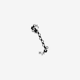 C=C1C=CC(=O)N1Cc1cn(CCOCCOCCOCCOCCC(=O)N2CC[C@@H](C)C2)nn1